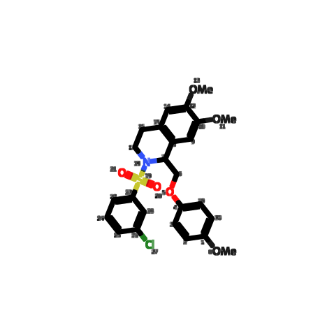 COc1ccc(OCC2c3cc(OC)c(OC)cc3CCN2S(=O)(=O)c2cccc(Cl)c2)cc1